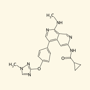 CNc1ncc(-c2ccc(Oc3ncn(C)n3)cc2)c2cc(NC(=O)C3CC3)ncc12